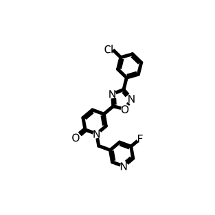 O=c1ccc(-c2nc(-c3cccc(Cl)c3)no2)cn1Cc1cncc(F)c1